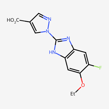 CCOc1cc2[nH]c(-n3cc(C(=O)O)cn3)nc2cc1F